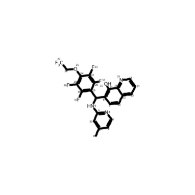 Cc1ccnc(NC(c2ccc3cccnc3c2O)c2c(F)c(F)c(OCC(F)(F)F)c(F)c2F)c1